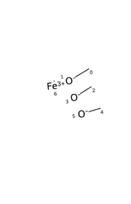 C[O-].C[O-].C[O-].[Fe+3]